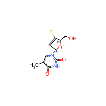 Cc1cn([C@H]2C=C(F)[C@@H](CO)O2)c(=O)[nH]c1=O